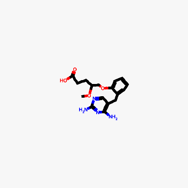 COC(CCC(=O)O)COc1ccccc1Cc1cnc(N)nc1N